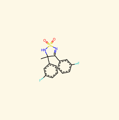 CC1(c2cccc(F)c2)NS(=O)(=O)N=C1c1cccc(F)c1